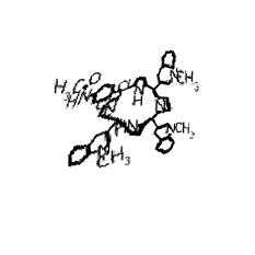 CC(=O)Nc1ccc(C2(Cl)c3ccc([nH]3)C(C3=CN(C)c4ccccc4C3)=C3C=CC(=N3)C(C3=CN(C)c4ccccc4C3)=c3ccc([nH]3)=C(C3=CN(C)c4ccccc4C3)C3=NC2(Cl)C=C3)cc1